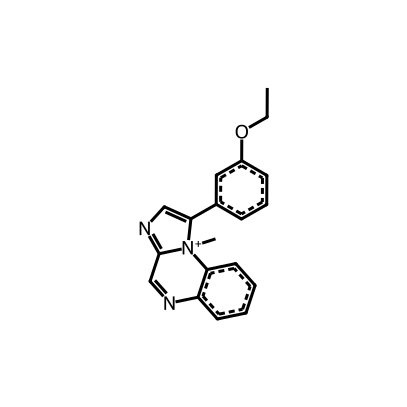 CCOc1cccc(C2=CN=C3C=Nc4ccccc4[N+]23C)c1